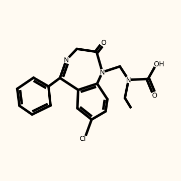 CCN(CN1C(=O)CN=C(c2ccccc2)c2cc(Cl)ccc21)C(=O)O